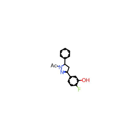 CC(=O)N1N=C(c2ccc(F)c(O)c2)CC1c1ccccc1